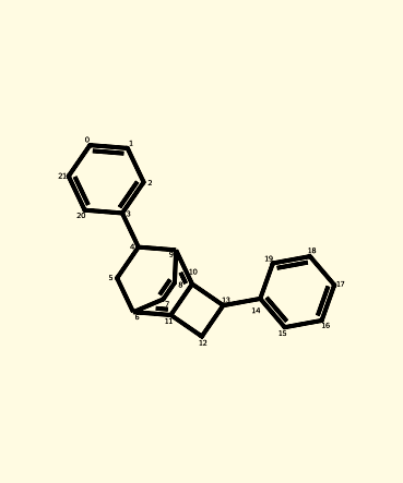 c1ccc(C2Cc3ccc2c2c3CC2c2ccccc2)cc1